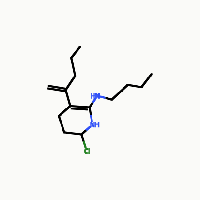 C=C(CCC)C1=C(NCCCC)NC(Cl)CC1